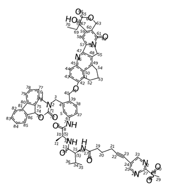 CCN(Cc1cc(NC(=O)[C@H](C)NC(=O)[C@@H](NC(=O)CCCC#Cc2cnc(S(C)(=O)=O)nc2)C(C)C)ccc1COc1ccc2nc3c(c4c2c1CCC4)Cn1c-3cc2c(c1=O)COC(=O)[C@]2(O)CC)C(=O)OC1c2ccccc2-c2ccccc21